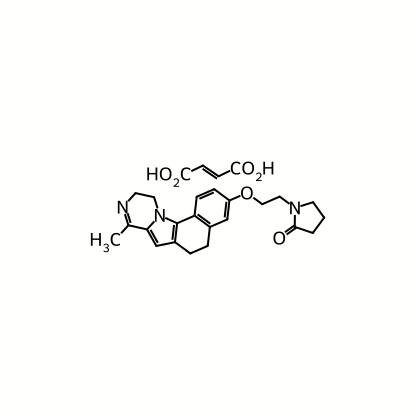 CC1=NCCn2c1cc1c2-c2ccc(OCCN3CCCC3=O)cc2CC1.O=C(O)/C=C/C(=O)O